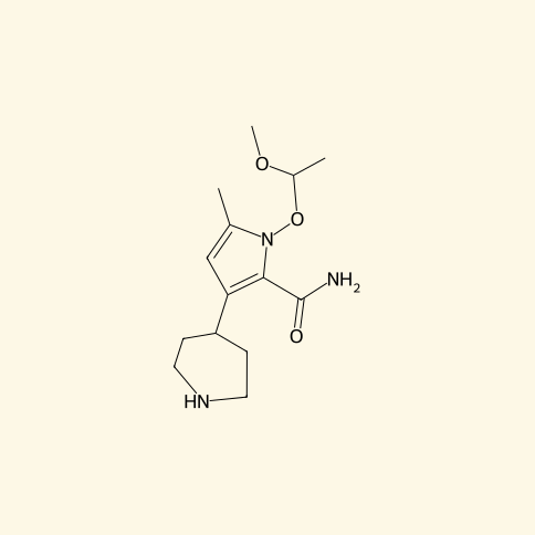 COC(C)On1c(C)cc(C2CCNCC2)c1C(N)=O